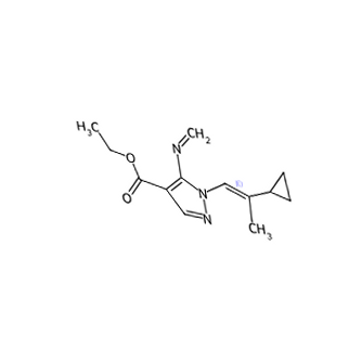 C=Nc1c(C(=O)OCC)cnn1/C=C(\C)C1CC1